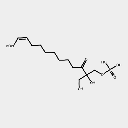 CCCCCCCC/C=C\CCCCCCCC(=O)C(O)(CO)COP(=O)(O)O